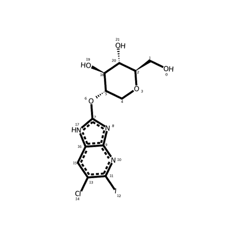 OC[C@H]1OC[C@H](Oc2nc3nc(I)c(Cl)cc3[nH]2)[C@@H](O)[C@@H]1O